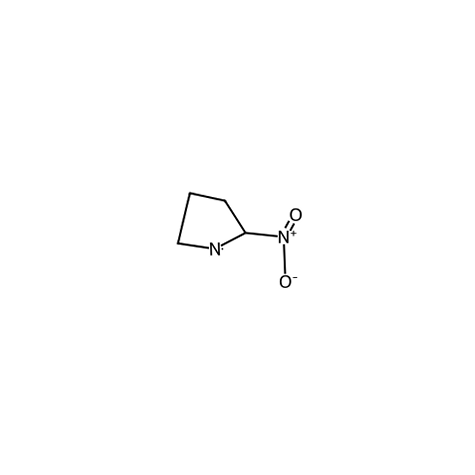 O=[N+]([O-])C1CCC[N]1